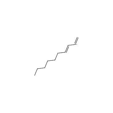 C=[C]C=CCCCCCC